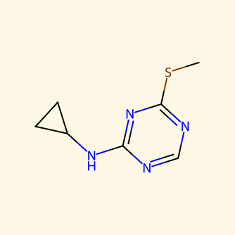 CSc1ncnc(NC2CC2)n1